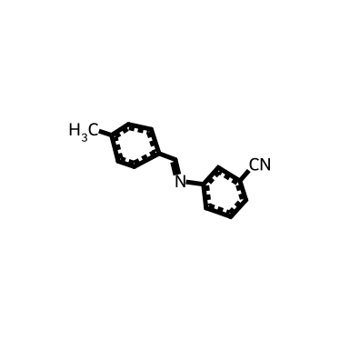 Cc1ccc(C=Nc2cccc(C#N)c2)cc1